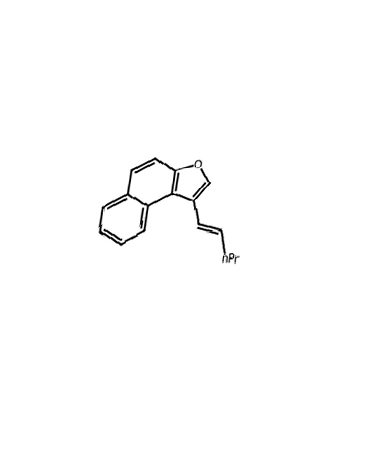 [CH2]CCC=Cc1coc2ccc3ccccc3c12